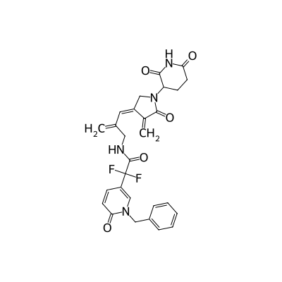 C=C(/C=C1/CN(C2CCC(=O)NC2=O)C(=O)C1=C)CNC(=O)C(F)(F)c1ccc(=O)n(Cc2ccccc2)c1